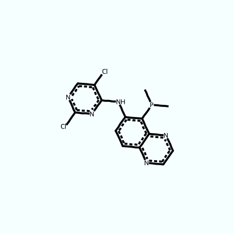 CP(C)c1c(Nc2nc(Cl)ncc2Cl)ccc2nccnc12